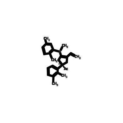 C=CC1=C(N(C)c2cc(C)ccc2C)C[C@](C(C)=O)(c2cccc(C)c2C)C1